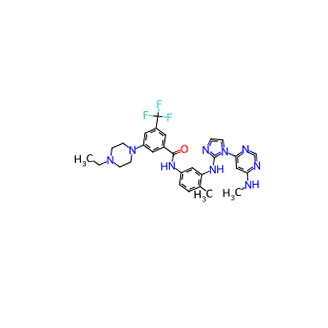 CCN1CCN(c2cc(C(=O)Nc3ccc(C)c(Nc4nccn4-c4cc(NC)ncn4)c3)cc(C(F)(F)F)c2)CC1